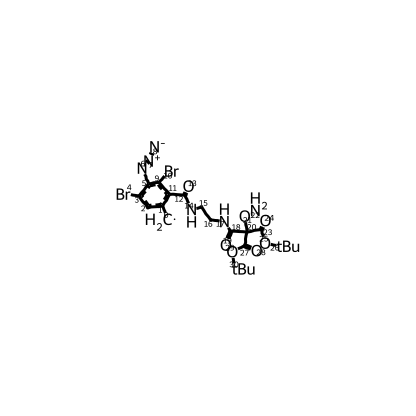 [CH2]c1cc(Br)c(N=[N+]=[N-])c(Br)c1C(=O)NCCNC(=O)C(ON)(C(=O)OC(C)(C)C)C(=O)OC(C)(C)C